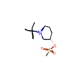 CC(C)(C)N1CCC[C@H](OS(C)(=O)=O)C1